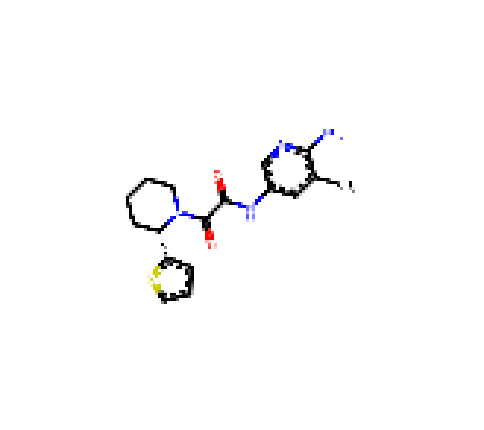 Cc1cc(NC(=O)C(=O)N2CCCC[C@H]2c2cccs2)cnc1N